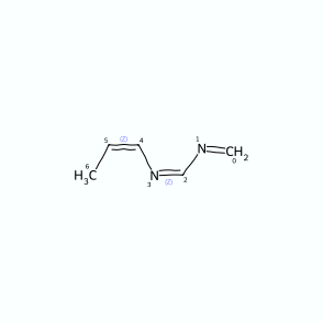 C=N/C=N\C=C/C